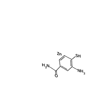 NC(=O)c1ccc(S)c(N)c1.[Zn]